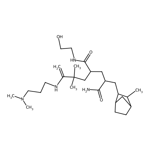 C=C(NCCCN(C)C)C(C)(C)CC(CC(CC1C2CCC(C2)C1C)C(N)=O)C(=O)NCCO